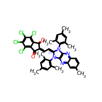 Cc1cc(C)c(N2/C(=C/C=C3C(=O)c4c(Cl)c(Cl)c(Cl)c(Cl)c4C3=O)N(c3c(C)cc(C)cc3C)c3nc4cc(C)ccc4nc32)c(C)c1